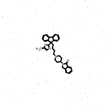 Cc1cnc(C2(CCCCN3CCC(N4Cc5ccccc5C4=O)CC3)c3ccccc3-c3ccccc32)s1